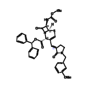 COc1cccc(CN2CC/C(=C\C3=CS[C@@H]4[C@H](NC(=O)OC(C)(C)C)C(=O)N4[C@H]3C(=O)OC(c3ccccc3)c3ccccc3)C2=O)c1